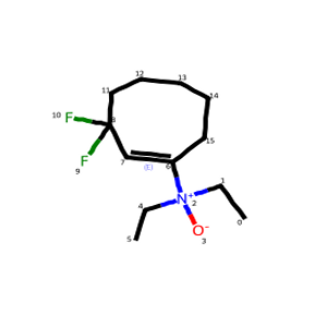 CC[N+]([O-])(CC)/C1=C/C(F)(F)CCCCC1